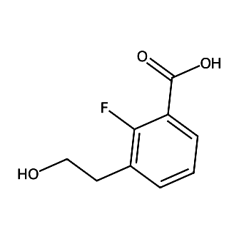 O=C(O)c1cccc(CCO)c1F